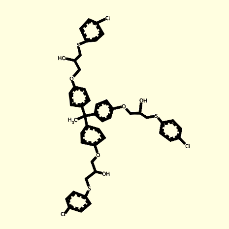 CC(c1ccc(OCC(O)CSc2ccc(Cl)cc2)cc1)(c1ccc(OCC(O)CSc2ccc(Cl)cc2)cc1)c1ccc(OCC(O)CSc2ccc(Cl)cc2)cc1